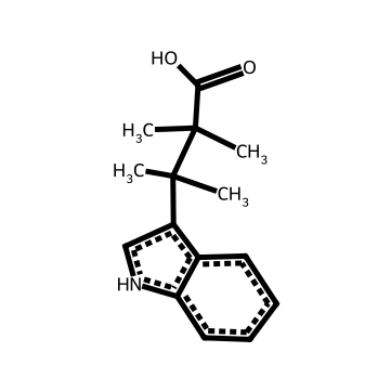 CC(C)(C(=O)O)C(C)(C)c1c[nH]c2ccccc12